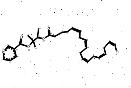 CC/C=C\C/C=C\C/C=C\C/C=C\C/C=C\CCCC(=O)OC(C)C(C)(C)OC(=O)c1cccnc1